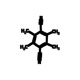 Cc1c(C)c(C#N)c(C)c(C)c1C#N